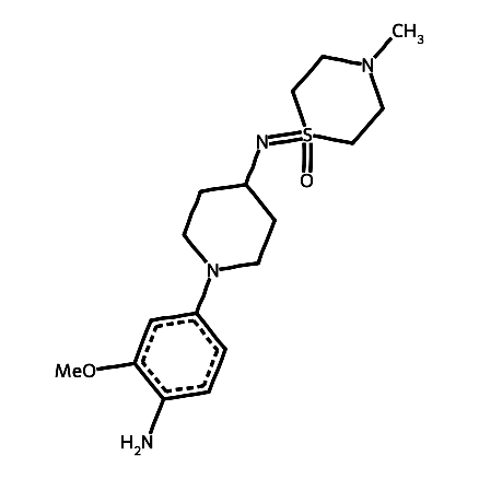 COc1cc(N2CCC(N=S3(=O)CCN(C)CC3)CC2)ccc1N